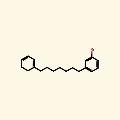 Brc1cccc(CCCCCCCC2=CC=CCC2)c1